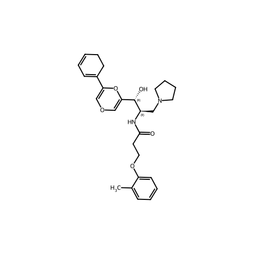 Cc1ccccc1OCCC(=O)N[C@H](CN1CCCC1)[C@@H](O)C1=COC=C(C2=CC=CCC2)O1